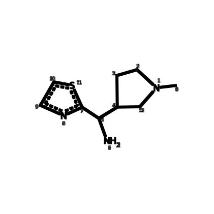 CN1CCC(C(N)c2nccs2)C1